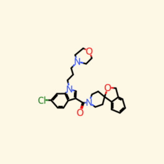 O=C(c1cn(CCCN2CCOCC2)c2cc(Cl)ccc12)N1CCC2(CC1)OCc1ccccc12